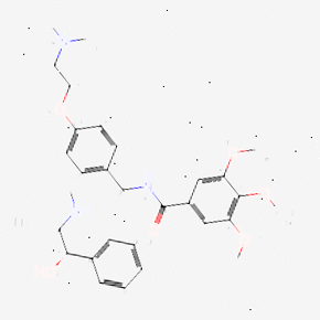 CN[C@@H](C)[C@H](O)c1ccccc1.COc1cc(C(=O)NCc2ccc(OCCN(C)C)cc2)cc(OC)c1OC